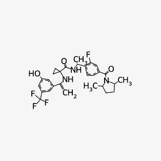 C=C(NC1(C(=O)N[C@H](C)c2ccc(C(=O)N3C(C)CCC3C)cc2F)CC1)c1cc(O)cc(C(F)(F)F)c1